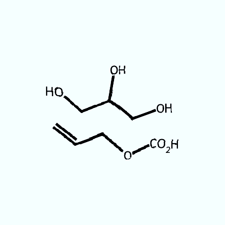 C=CCOC(=O)O.OCC(O)CO